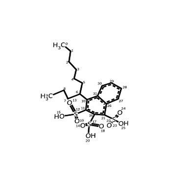 CCCCCCC(CCC)c1c(S(=O)(=O)O)c(S(=O)(=O)O)c(S(=O)(=O)O)c2ccccc12